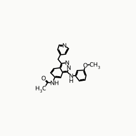 COc1cccc(Nc2nnc(Cc3ccncc3)c3ccc(NC(C)=O)cc23)c1